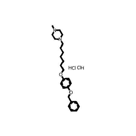 CN1CCN(CCCCCCCOc2ccc(OCc3ccccc3)cc2)CC1.Cl.Cl